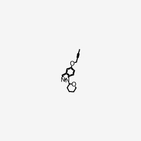 CC#CCOc1ccc2c(cnn2C2CCCCO2)c1